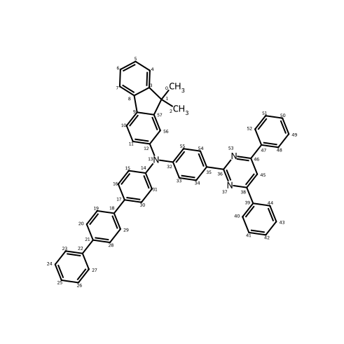 CC1(C)c2ccccc2-c2ccc(N(c3ccc(-c4ccc(-c5ccccc5)cc4)cc3)c3ccc(-c4nc(-c5ccccc5)cc(-c5ccccc5)n4)cc3)cc21